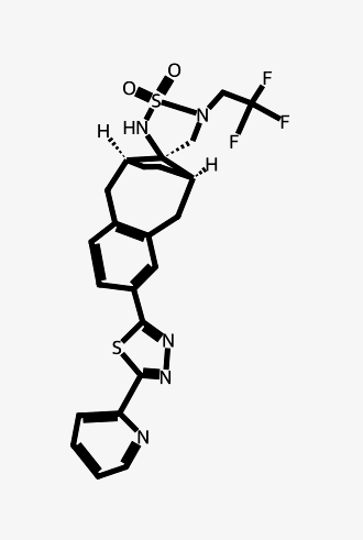 O=S1(=O)N[C@@]2(CN1CC(F)(F)F)[C@@H]1CC[C@H]2Cc2ccc(-c3nnc(-c4ccccn4)s3)cc2C1